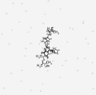 CC(C)[C@@H](C)[C@@H](C)CC[C@H](C)c1c(F)cc2c(N3CC4CCC(C3)N4)nc(OCC34CCCN3C(COC(=O)N(C)C)CC4)nc2c1F